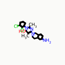 CC1=NC(N2CCc3cc(N)ccc3C2)=C(C)C(O)N1c1cccc(Cl)c1Cl